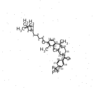 Cc1c(OCCCCNCC(C)(C)C)ccc(C(C)N2CCN(C(=O)c3ccc(C(F)(F)F)cc3)CC2)c1C